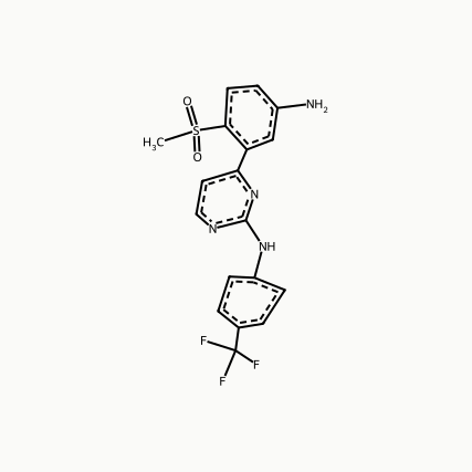 CS(=O)(=O)c1ccc(N)cc1-c1ccnc(Nc2ccc(C(F)(F)F)cc2)n1